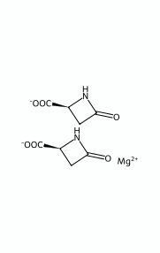 O=C1C[C@@H](C(=O)[O-])N1.O=C1C[C@@H](C(=O)[O-])N1.[Mg+2]